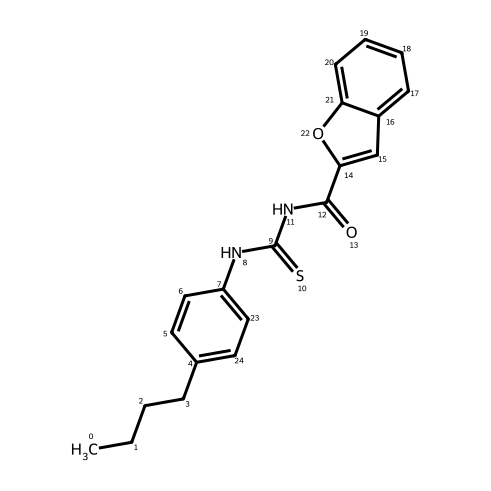 CCCCc1ccc(NC(=S)NC(=O)c2cc3ccccc3o2)cc1